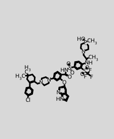 CC(CN1CC[P](C)(O)CC1)Nc1ccc(S(=O)(=O)NC(=O)c2ccc(N3CCN(CC4=C(c5ccc(Cl)cc5)CC(C)(C)CC4)CC3)cc2Oc2cnc3[nH]ccc3c2)cc1S(=O)(=O)C(F)(F)F